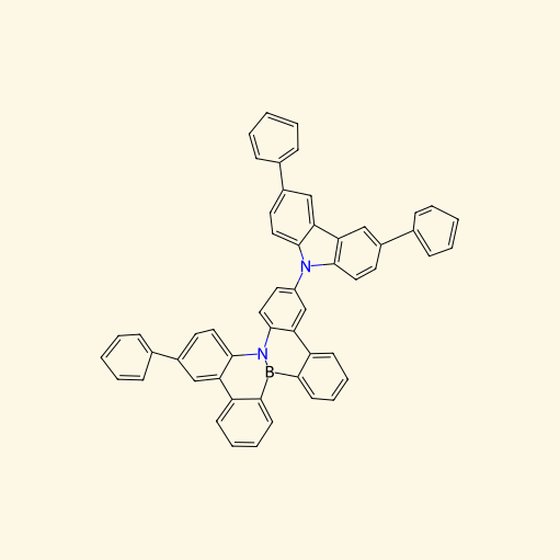 c1ccc(-c2ccc3c(c2)-c2ccccc2B2c4ccccc4-c4cc(-n5c6ccc(-c7ccccc7)cc6c6cc(-c7ccccc7)ccc65)ccc4N23)cc1